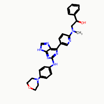 CN(CC(O)c1ccccc1)c1ccc(-c2nc(Nc3ccc(N4CCOCC4)cc3)nc3[nH]cnc23)cn1